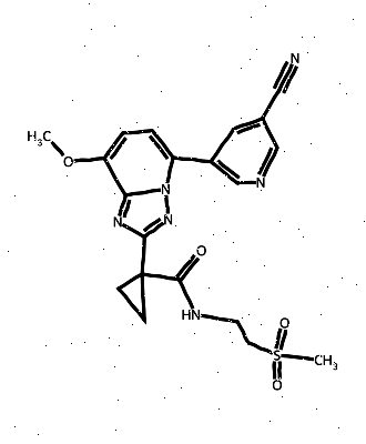 COc1ccc(-c2cncc(C#N)c2)n2nc(C3(C(=O)NCCS(C)(=O)=O)CC3)nc12